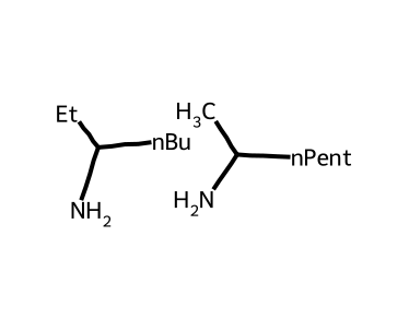 CCCCC(N)CC.CCCCCC(C)N